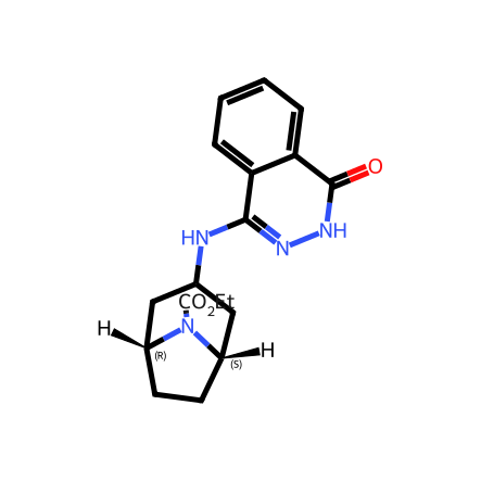 CCOC(=O)N1[C@@H]2CC[C@H]1CC(Nc1n[nH]c(=O)c3ccccc13)C2